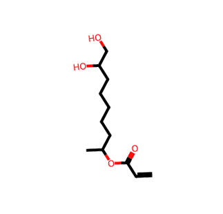 C=CC(=O)OC(C)CCCCCC(O)CO